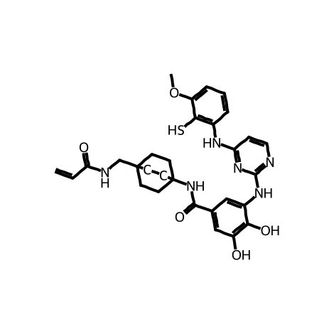 C=CC(=O)NCC12CCC(NC(=O)c3cc(O)c(O)c(Nc4nccc(Nc5cccc(OC)c5S)n4)c3)(CC1)CC2